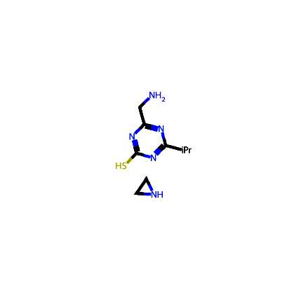 C1CN1.CC(C)c1nc(S)nc(CN)n1